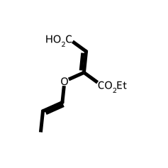 CC=COC(=CC(=O)O)C(=O)OCC